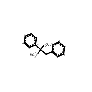 CCCCCCCCC(Cc1ccccc1)(C(=O)O)c1ccccc1